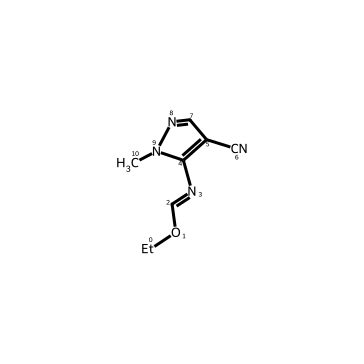 CCOC=Nc1c(C#N)cnn1C